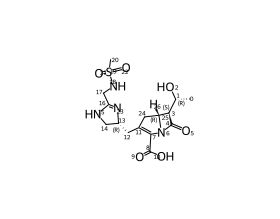 C[C@@H](O)[C@H]1C(=O)N2C(C(=O)O)=C(C[C@@H]3CNC(CNS(C)(=O)=O)=N3)C[C@H]12